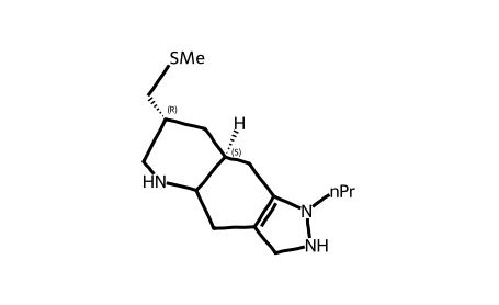 CCCN1NCC2=C1C[C@@H]1C[C@@H](CSC)CNC1C2